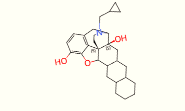 Oc1ccc2c3c1OC1C4CC5CCCCC5CC4C[C@@]4(O)C(C2)N(CC2CC2)CC[C@]314